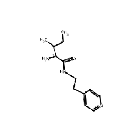 CCC(C)[C@H](N)C(=S)NCCc1ccncc1